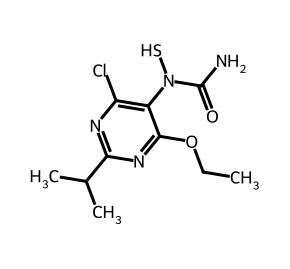 CCOc1nc(C(C)C)nc(Cl)c1N(S)C(N)=O